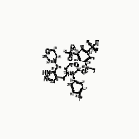 C[C@@H](OC1OCCN(Cc2nn[nH]c2CN2CCOCC2)C1c1ccc(F)cc1)c1cc(C(F)(F)F)cc(S(C)(=O)=O)c1